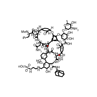 CCCCCCCCS(=O)(=O)NCCNCC1[C@H](O)C2C3C[C@H](CC[C@H]3O)[C@H]3NC(=O)[C@@H]4NC(=O)[C@H](CC(N)=O)NC(=O)[C@H](NC(=O)[C@@H](CC(C)C)NC)[C@H](O)[C@H]5CC[C@@H](Oc6cc4cc(c6O[C@@H]4C[C@H](CO)[C@@H](O)[C@H](O)[C@H]4O[C@H]4C[C@H](N)[C@H](O)[C@H](C)O4)O[C@@H]4CC[C@@H](C[C@@H]4Cl)[C@@H](O)[C@H](NC3=O)C(=O)N[C@H](C(=O)NC3C4CC6CC(C4)CC3C6)C2C[C@@H]1O)[C@H](Cl)C5